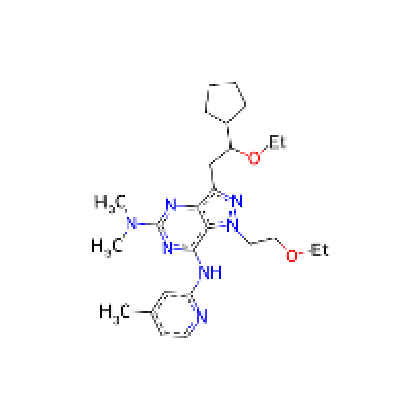 CCOCCn1nc(CC(OCC)C2CCCC2)c2nc(N(C)C)nc(Nc3cc(C)ccn3)c21